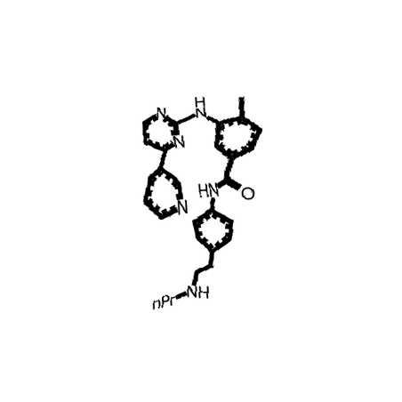 CCCNCCc1ccc(NC(=O)c2ccc(C)c(Nc3nccc(-c4cccnc4)n3)c2)cc1